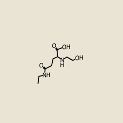 CCNC(=O)CCC(NCCO)C(=O)O